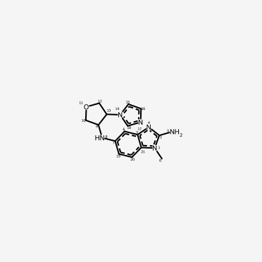 Cn1c(N)nc2cc(NC3COCC3n3ccnc3)ccc21